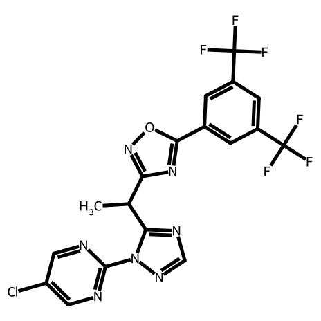 CC(c1noc(-c2cc(C(F)(F)F)cc(C(F)(F)F)c2)n1)c1ncnn1-c1ncc(Cl)cn1